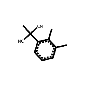 Cc1cccc(C(C)(C#N)C#N)c1C